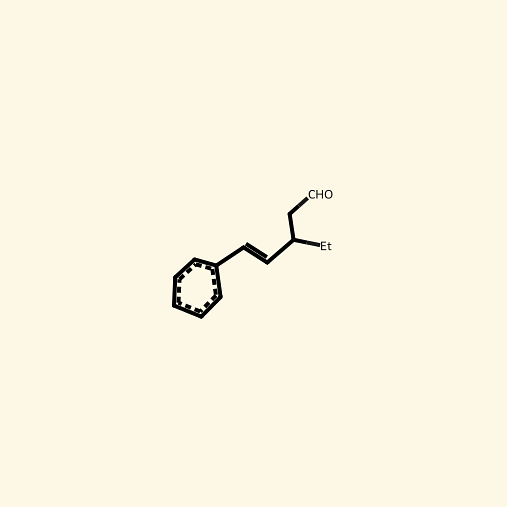 [CH2]CC(C=Cc1ccccc1)CC=O